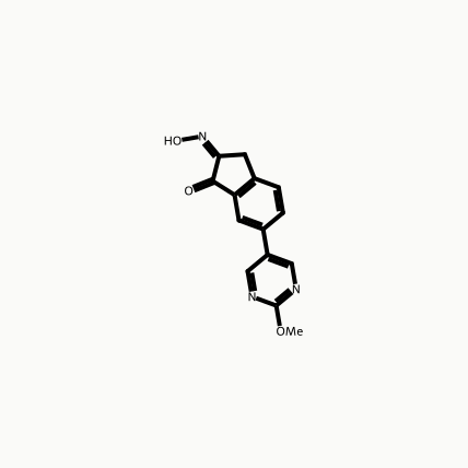 COc1ncc(-c2ccc3c(c2)C(=O)/C(=N\O)C3)cn1